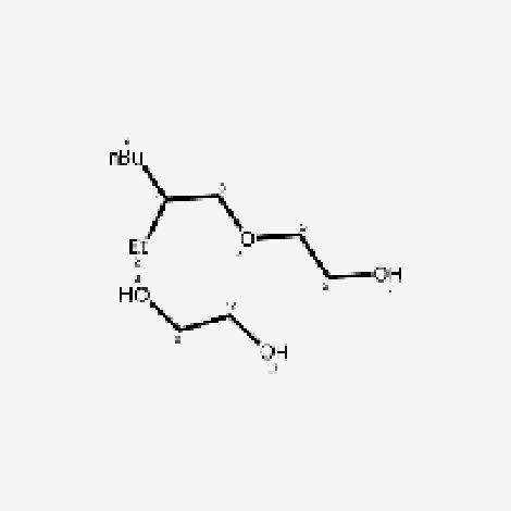 CCCCC(CC)COCCO.OCCO